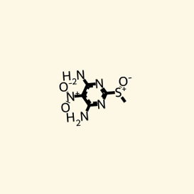 C[S+]([O-])c1nc(N)c([N+](=O)[O-])c(N)n1